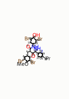 COc1c(Br)cc(CC(C(=O)Nc2cc(Br)c(O)c(Br)c2)C(=O)C(N)c2ccc(C(C)C)cc2)cc1Br